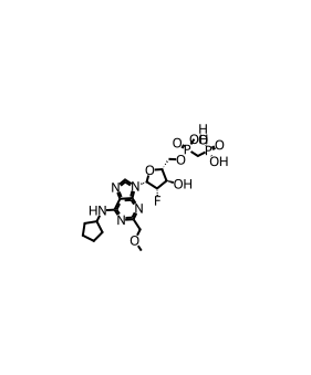 COCc1nc(NC2CCCC2)c2ncn([C@@H]3O[C@H](COP(=O)(O)CP(=O)(O)O)[C@@H](O)[C@@H]3F)c2n1